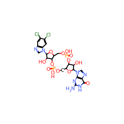 Nc1nc2c(ncn2C2OC3COP(=O)(O)OC4C(COP(=O)(O)OC3C2O)OC(n2cnc3cc(Cl)c(Cl)cc32)C4O)c(=O)[nH]1